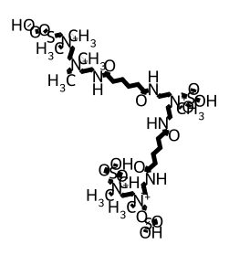 CC[N+](C)(CCNC(=O)CCCCC(=O)NCC[N+](C)(CCNC(=O)CCCCC(=O)NCC[N+](C)(CC[N+](C)(C)CS(=O)(=O)O)COS(=O)O)CS(=O)(=O)O)CC[N+](C)(C)CSOOO